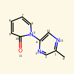 Cc1cnc(-n2ccccc2=O)cn1